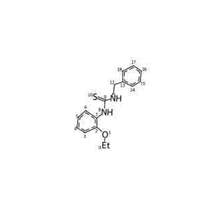 CCOc1ccccc1NC(=S)NCc1ccccc1